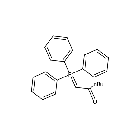 CCCCC(=O)C=P(c1ccccc1)(c1ccccc1)c1ccccc1